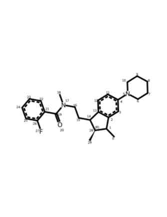 CC1c2cc(N3CCCCC3)ccc2C(CCN(C)C(=O)c2ccccc2F)[C@@H]1C